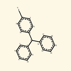 Ic1ccc(C(c2ccccc2)c2ccccc2)cc1